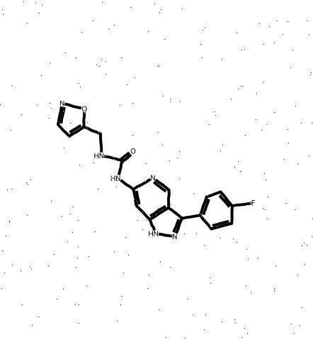 O=C(NCc1ccno1)Nc1cc2[nH]nc(-c3ccc(F)cc3)c2cn1